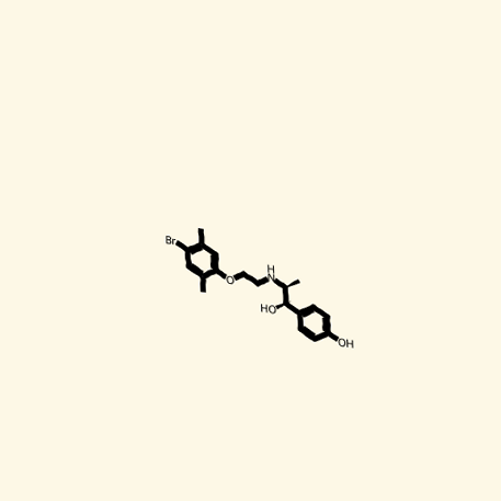 Cc1cc(OCCN[C@@H](C)[C@H](O)c2ccc(O)cc2)c(C)cc1Br